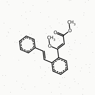 COC(=O)C=C(OC)c1ccccc1C=Cc1ccccc1